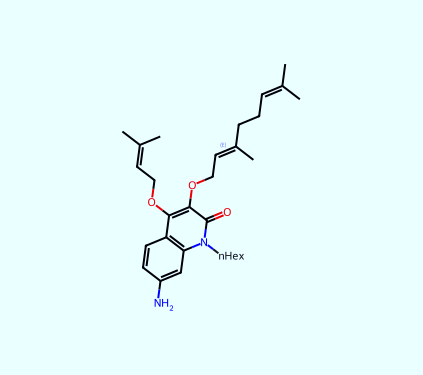 CCCCCCn1c(=O)c(OC/C=C(\C)CCC=C(C)C)c(OCC=C(C)C)c2ccc(N)cc21